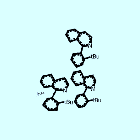 CC(C)(C)c1ccccc1-c1nccc2ccccc12.CC(C)(C)c1ccccc1-c1nccc2ccccc12.CC(C)(C)c1ccccc1-c1nccc2ccccc12.[Ir+3]